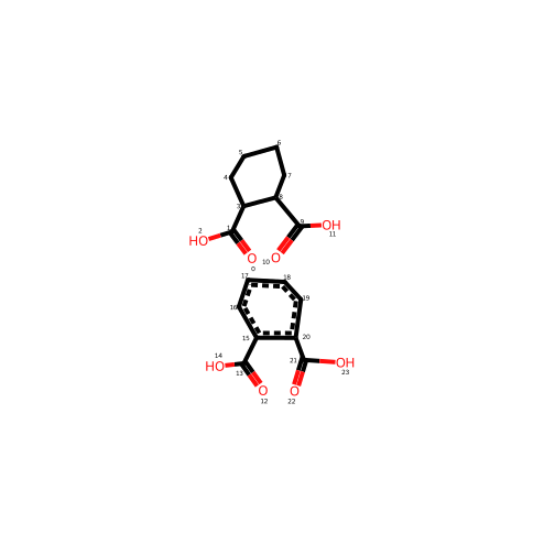 O=C(O)C1CCCCC1C(=O)O.O=C(O)c1ccccc1C(=O)O